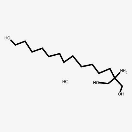 Cl.NC(CO)(CO)CCCCCCCCCCCCO